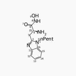 CCCCCn1c(C[C@H](N)C(=O)NO)nc2ccccc21